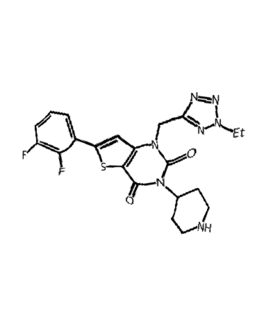 CCn1nnc(Cn2c(=O)n(C3CCNCC3)c(=O)c3sc(-c4cccc(F)c4F)cc32)n1